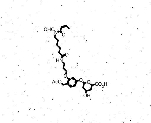 C/C=C\C(=O)N(C=O)CCCCCC(=O)NCCCOc1cc(OC2CC(O)CC(C(=O)O)O2)ccc1COC(C)=O